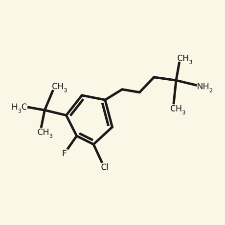 CC(C)(N)CCCc1cc(Cl)c(F)c(C(C)(C)C)c1